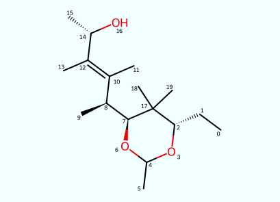 CC[C@@H]1OC(C)O[C@@H]([C@@H](C)/C(C)=C(\C)[C@H](C)O)C1(C)C